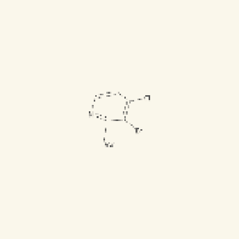 CC(=O)Oc1nccc(Cl)c1Br